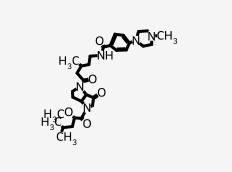 COC(CC(C)C)C(=O)N1CC(=O)C2C1CCN2C(=O)CC(C)CCNC(=O)c1ccc(N2CCN(C)CC2)cc1